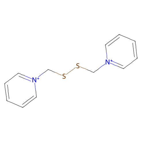 c1cc[n+](CSSC[n+]2ccccc2)cc1